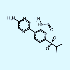 CC(C)S(=O)(=O)c1ccc(-c2cnc(N)cn2)cc1.NNC=O